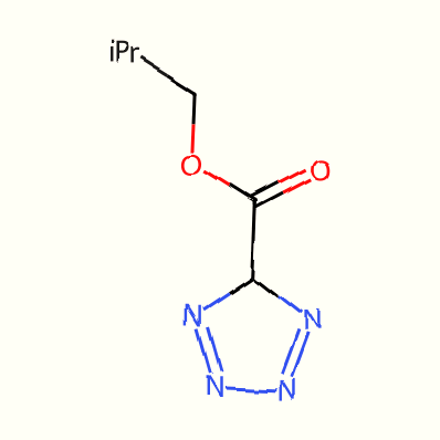 CC(C)COC(=O)C1N=NN=N1